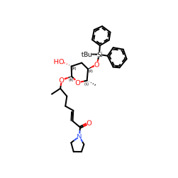 CC(CCC=CC(=O)N1CCCC1)O[C@@H]1O[C@@H](C)[C@H](O[Si](c2ccccc2)(c2ccccc2)C(C)(C)C)C[C@H]1O